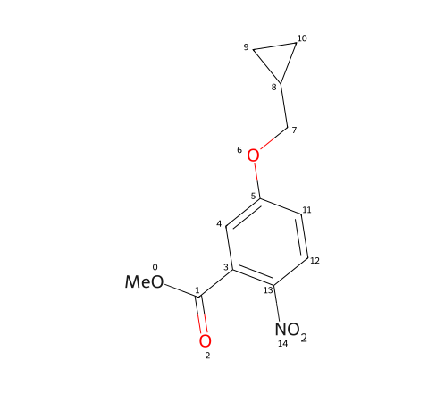 COC(=O)c1cc(OCC2CC2)ccc1[N+](=O)[O-]